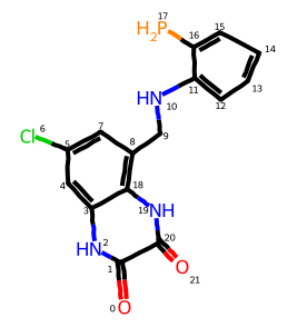 O=c1[nH]c2cc(Cl)cc(CNc3ccccc3P)c2[nH]c1=O